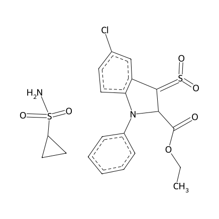 CCOC(=O)C1C(=S(=O)=O)c2cc(Cl)ccc2N1c1ccccc1.NS(=O)(=O)C1CC1